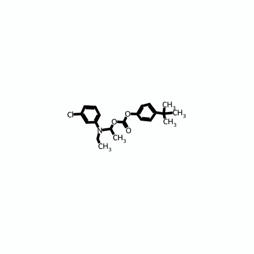 CCN(c1cccc(Cl)c1)C(C)OC(=O)Oc1ccc(C(C)(C)C)cc1